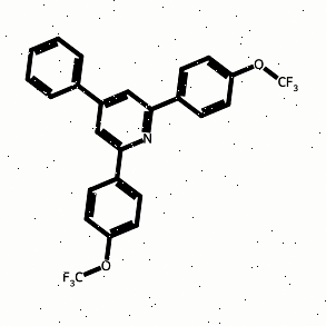 FC(F)(F)Oc1ccc(-c2cc(-c3ccccc3)cc(-c3ccc(OC(F)(F)F)cc3)n2)cc1